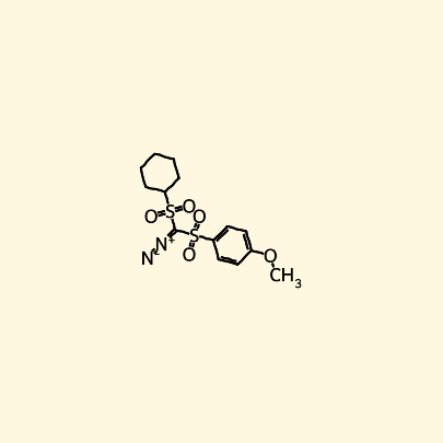 COc1ccc(S(=O)(=O)C(=[N+]=[N-])S(=O)(=O)C2CCCCC2)cc1